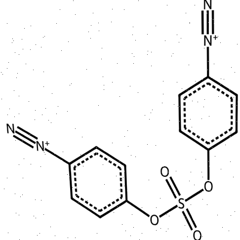 N#[N+]c1ccc(OS(=O)(=O)Oc2ccc([N+]#N)cc2)cc1